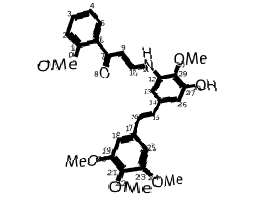 COc1ccccc1C(=O)C=CNc1cc(C=Cc2cc(OC)c(OC)c(OC)c2)cc(O)c1OC